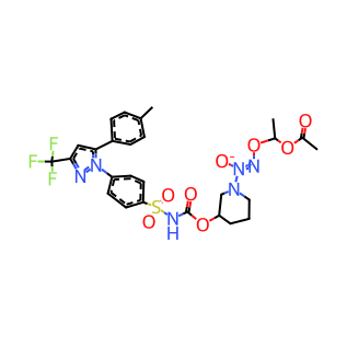 CC(=O)OC(C)ON=[N+]([O-])N1CCCC(OC(=O)NS(=O)(=O)c2ccc(-n3nc(C(F)(F)F)cc3-c3ccc(C)cc3)cc2)C1